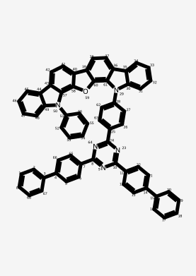 c1ccc(-c2ccc(-c3nc(-c4ccc(-c5ccccc5)cc4)nc(-c4ccc(-n5c6ccccc6c6ccc7c8ccc9c%10ccccc%10n(-c%10ccccc%10)c9c8oc7c65)cc4)n3)cc2)cc1